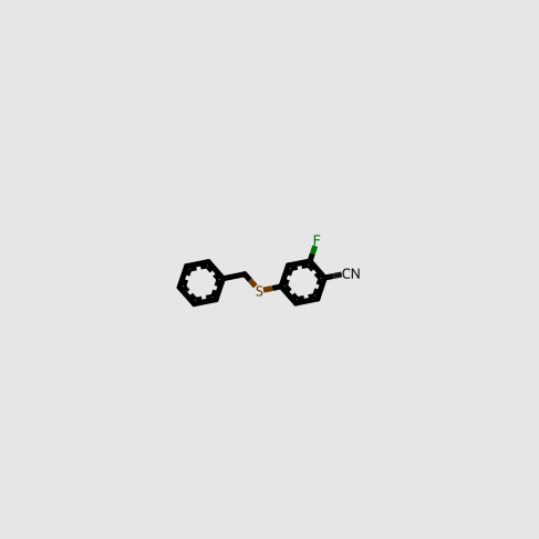 N#Cc1ccc(SCc2ccccc2)cc1F